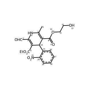 CCOC(=O)C1=C(C=O)NC(C)=C(C(=O)OCCO)C1c1ccccc1[N+](=O)[O-]